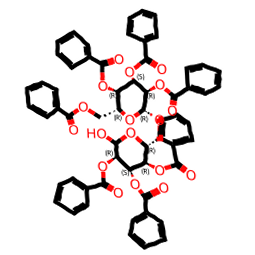 O=C(OC[C@H]1O[C@@H](OC[C@H]2OC(O)[C@H](OC(=O)c3ccccc3)[C@@H](OC(=O)c3ccccc3)[C@@H]2OC(=O)c2ccccc2)[C@H](OC(=O)c2ccccc2)[C@@H](OC(=O)c2ccccc2)[C@@H]1OC(=O)c1ccccc1)c1ccccc1